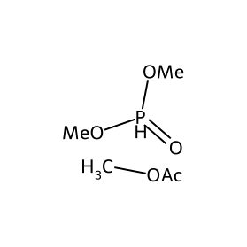 COC(C)=O.CO[PH](=O)OC